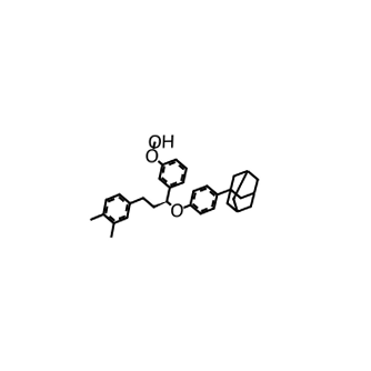 Cc1ccc(CC[C@H](Oc2ccc(C34CC5CC(CC(C5)C3)C4)cc2)c2cccc(OO)c2)cc1C